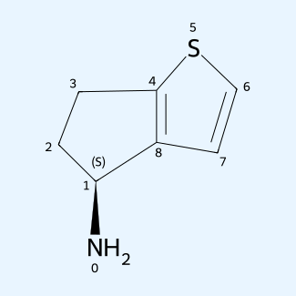 N[C@H]1CCc2sccc21